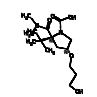 CN(C)C(=O)[C@@]1(C(C)(C)C)C[C@@H](OCCCO)CN1C(=O)O